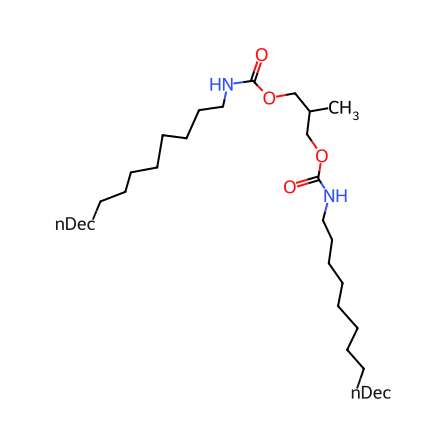 CCCCCCCCCCCCCCCCCCNC(=O)OCC(C)COC(=O)NCCCCCCCCCCCCCCCCCC